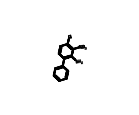 Nc1c(-c2ccccc2)ccc(Cl)c1[N+](=O)[O-]